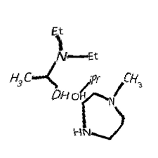 CC(C)O.CCN(CC)C(C)O.CN1CCNCC1